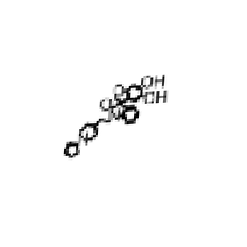 O=C1N(CCC2CCN(C3CCCC3)CC2)c2ccccc2C12COc1cc(O)c(O)cc12